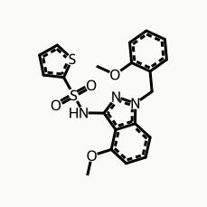 COc1ccccc1Cn1nc(NS(=O)(=O)c2cccs2)c2c(OC)cccc21